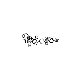 [2H]C([2H])(Nc1cnn(C2CCN(S(=O)(=O)c3ccc(Br)cn3)CC2)c(=O)c1Cl)C1CCCOC1